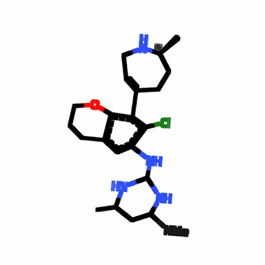 CNC1CC(C)NC(Nc2cc3c(c(C4=CCN[C@@H](C)CC4)c2Cl)OCCC3)N1